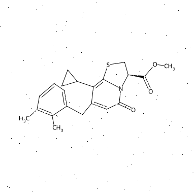 COC(=O)[C@@H]1CSc2c(C3CC3)c(Cc3cccc(C)c3C)cc(=O)n21